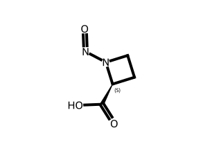 O=NN1CC[C@H]1C(=O)O